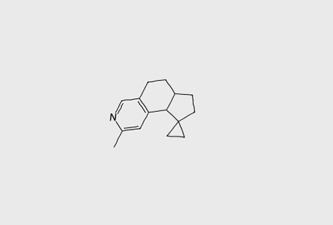 Cc1cc2c(cn1)CCC1CCC3(CC3)C21